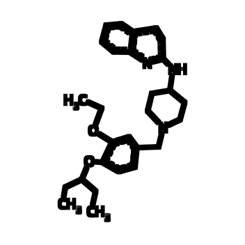 CCOc1cc(CN2CCC(Nc3ccc4ccccc4n3)CC2)ccc1OC(CC)CC